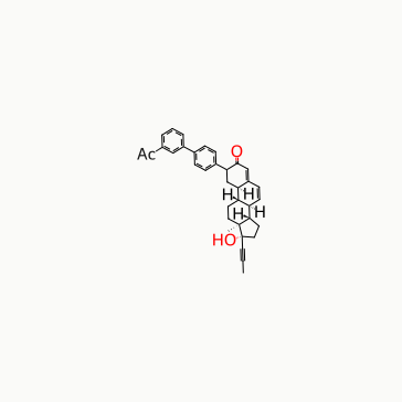 CC#C[C@]1(O)CC[C@H]2[C@@H]3C=CC4=CC(=O)C(c5ccc(-c6cccc(C(C)=O)c6)cc5)C[C@@H]4[C@H]3CC[C@@]21C